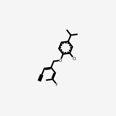 C#C/C=C(\C=C(/C)F)COc1ccc(C(C)C)cc1Cl